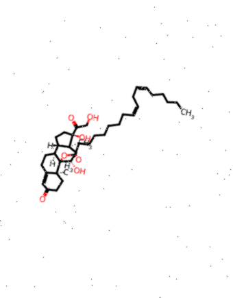 CCCCC/C=C\C/C=C\CCCCCCCC(=O)O[C@]12[C@@H](O)C[C@@]3(C)[C@@H](CC[C@]3(O)C(=O)CO)[C@@H]1CCC1=CC(=O)CC[C@@]12C